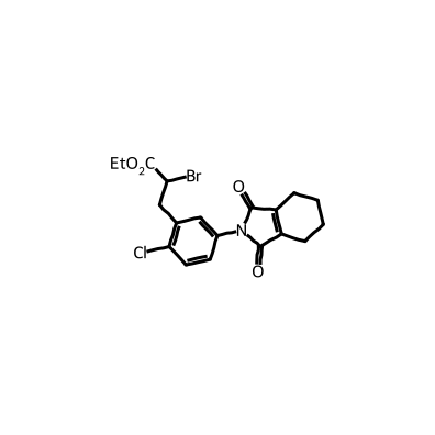 CCOC(=O)C(Br)Cc1cc(N2C(=O)C3=C(CCCC3)C2=O)ccc1Cl